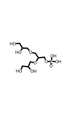 O=P(O)(O)OCC(COCC(O)CO)OCC(O)CO